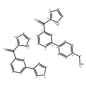 O=C(c1cccc(-c2ccsc2)c1)c1ncc[nH]1.O=C(c1ccnc(-c2ccc(CO)cc2)c1)c1ncc[nH]1